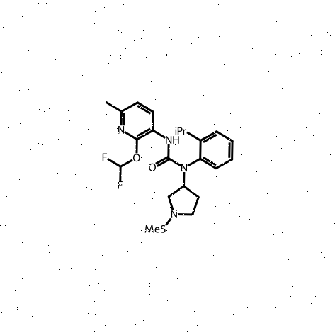 CSN1CCC(N(C(=O)Nc2ccc(C)nc2OC(F)F)c2ccccc2C(C)C)C1